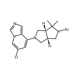 CC(=O)N1C[C@@H]2CN(c3cc(Cl)cn4cncc34)C[C@@H]2C1(C)C